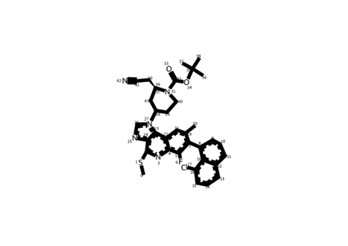 CSc1nc2c(F)c(-c3cccc4cccc(Cl)c34)c(C)cc2c2c1ncn2C1CCN(C(=O)OC(C)(C)C)[C@H](CC#N)C1